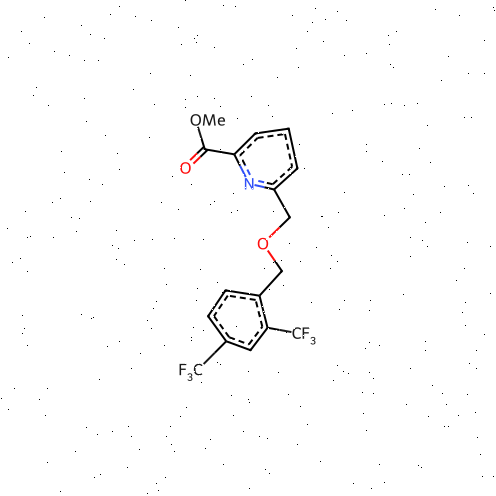 COC(=O)c1cccc(COCc2ccc(C(F)(F)F)cc2C(F)(F)F)n1